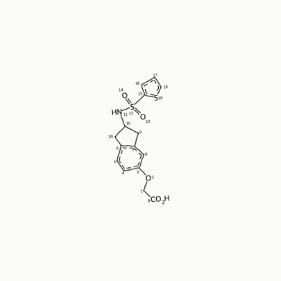 O=C(O)COc1ccc2c(c1)CC(NS(=O)(=O)c1cccs1)C2